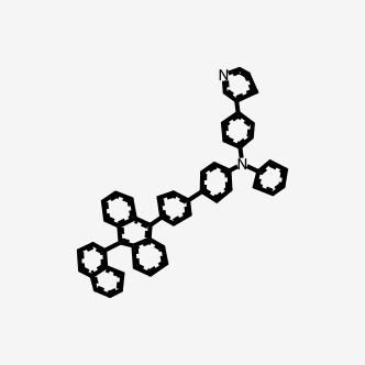 c1ccc(N(c2ccc(-c3ccc(-c4c5ccccc5c(-c5cccc6ccccc56)c5ccccc45)cc3)cc2)c2ccc(-c3cccnc3)cc2)cc1